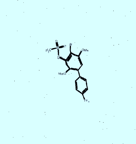 COc1cc(-c2ccc(C(F)(F)F)cc2)c(OC)c(OS(C)(=O)=O)c1Br